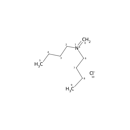 C=[N+](CCCC)CCCC.[Cl-]